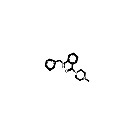 CN1CCN(C(=O)c2ccccc2NCc2ccccc2)CC1